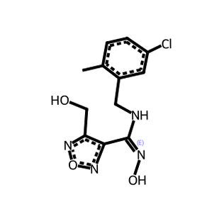 Cc1ccc(Cl)cc1CN/C(=N/O)c1nonc1CO